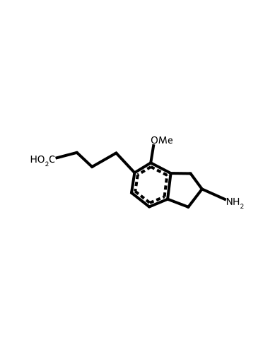 COc1c(CCCC(=O)O)ccc2c1CC(N)C2